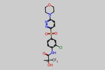 C[C@@](O)(C(=O)Nc1ccc(S(=O)(=O)c2ccc(N3CCOCC3)nn2)cc1Cl)C(F)(F)F